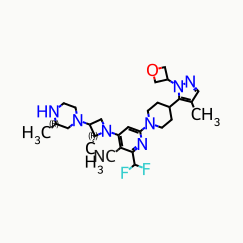 Cc1cnn(C2COC2)c1C1CCN(c2cc(N3CC(N4CCN[C@H](C)C4)[C@H]3C)c(C#N)c(C(F)F)n2)CC1